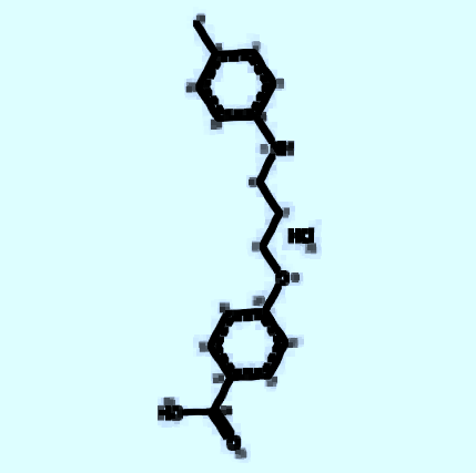 Cc1ccc(NCCCOc2ccc(C(=O)O)cc2)cc1.Cl